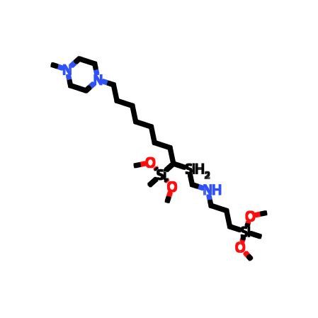 CO[Si](C)(CCCNC[SiH2]C(CCCCCCCN1CCN(C)CC1)[Si](C)(OC)OC)OC